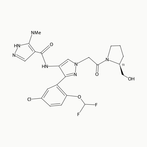 CNc1[nH]ncc1C(=O)Nc1cn(CC(=O)N2CCC[C@H]2CO)nc1-c1cc(Cl)ccc1OC(F)F